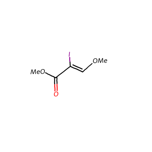 COC=C(I)C(=O)OC